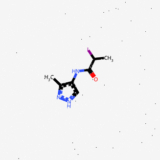 Cc1n[nH]cc1NC(=O)C(C)I